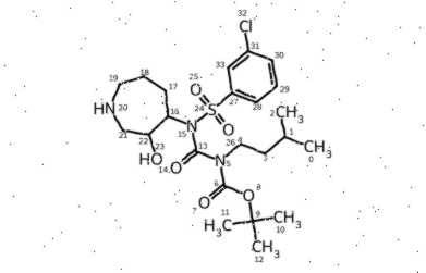 CC(C)CCN(C(=O)OC(C)(C)C)C(=O)N(C1CCCNCC1O)S(=O)(=O)c1cccc(Cl)c1